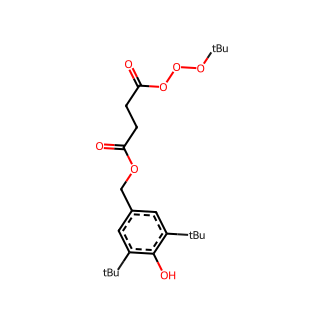 CC(C)(C)OOOC(=O)CCC(=O)OCc1cc(C(C)(C)C)c(O)c(C(C)(C)C)c1